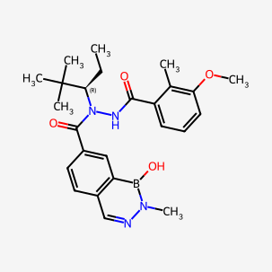 CC[C@@H](N(NC(=O)c1cccc(OC)c1C)C(=O)c1ccc2c(c1)B(O)N(C)N=C2)C(C)(C)C